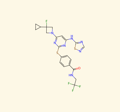 O=C(NCC(F)(F)F)c1ccc(Sc2nc(Nc3ncns3)cc(N3CC(F)(C4CC4)C3)n2)cc1